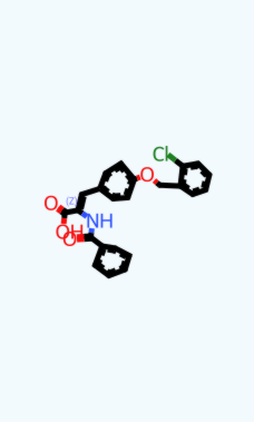 O=C(O)/C(=C/c1ccc(OCc2ccccc2Cl)cc1)NC(=O)c1ccccc1